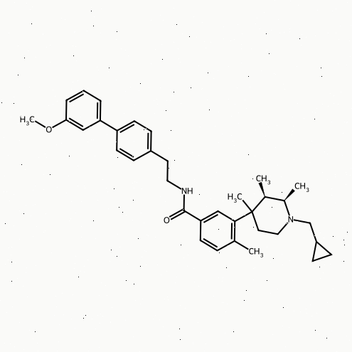 COc1cccc(-c2ccc(CCNC(=O)c3ccc(C)c(C4(C)CCN(CC5CC5)[C@H](C)[C@@H]4C)c3)cc2)c1